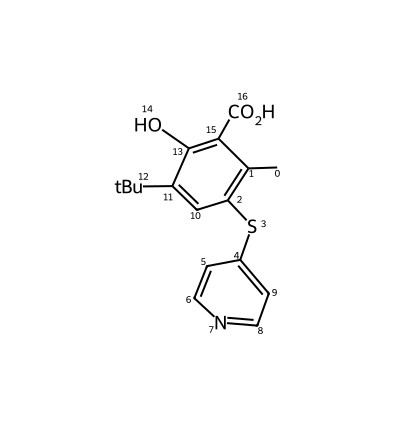 Cc1c(Sc2ccncc2)cc(C(C)(C)C)c(O)c1C(=O)O